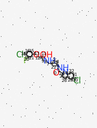 O=C(NC12CCC(CNCC(O)COc3ccc(Cl)c(F)c3)(C1)C2)c1ccc2cc(Cl)ccc2n1